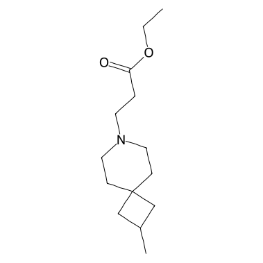 CCOC(=O)CCN1CCC2(CC1)CC(C)C2